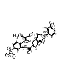 CCS(=O)(=O)c1ccc(O[C@@H](C)C(F)(F)F)c(C(=O)N2Cc3cn(-c4ccnc(C)c4)nc3C2)c1